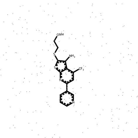 COCCSc1sc2nc(-c3cccnc3)cc(C(F)(F)F)c2c1N